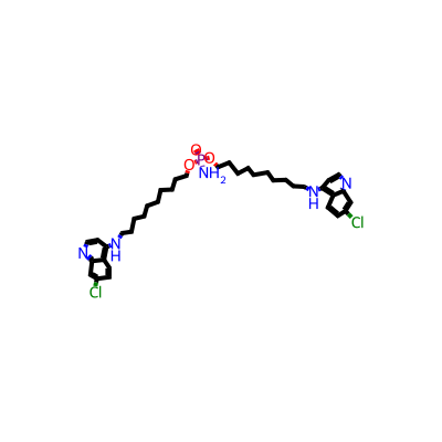 NP(=O)(OCCCCCCCCCCNc1ccnc2cc(Cl)ccc12)OCCCCCCCCCCNc1ccnc2cc(Cl)ccc12